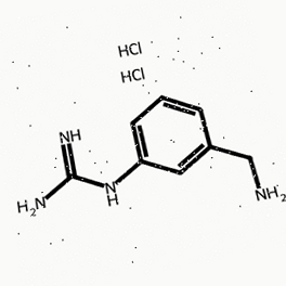 Cl.Cl.N=C(N)Nc1cccc(CN)c1